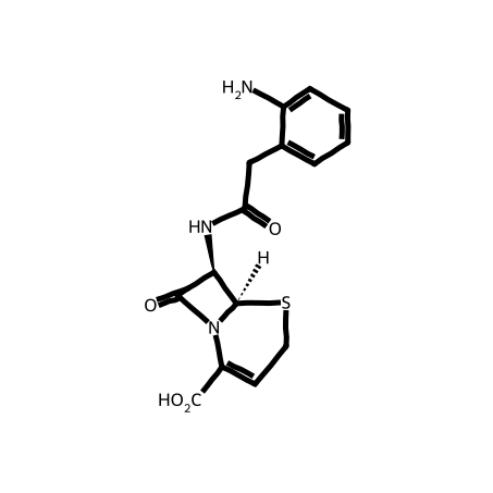 Nc1ccccc1CC(=O)N[C@@H]1C(=O)N2C(C(=O)O)=CCS[C@H]12